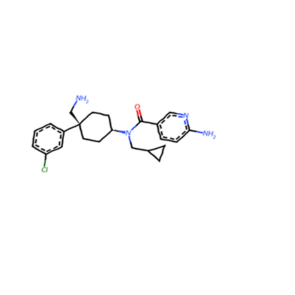 NC[C@]1(c2cccc(Cl)c2)CC[C@H](N(CC2CC2)C(=O)c2ccc(N)nc2)CC1